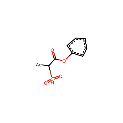 CC(=O)C(C(=O)Oc1ccccc1)[SH](=O)=O